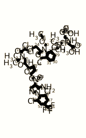 CC1(C)OC(c2ccco2)CN1C(=O)C(Cl)Cl.CCOCN(C(=O)CCl)c1c(C)cccc1CC.C[S+](C)C.Nc1c([N+](=O)[O-])cnn1-c1c(Cl)cc(C(F)(F)F)cc1Cl.O=C(O)CNCP(=O)([O-])O